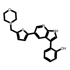 Oc1ccccc1-c1c[nH]c2ncc(-c3ccc(CN4CCOCC4)s3)cc12